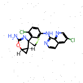 NC1=N[C@](CF)(c2cc(Nc3nccc4cc(Cl)cnc34)ccc2Cl)[C@H]2C[C@H]2O1